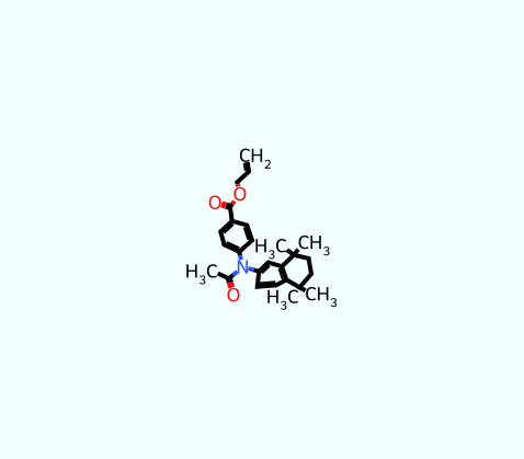 C=CCOC(=O)c1ccc(N(C(C)=O)c2ccc3c(c2)C(C)(C)CCC3(C)C)cc1